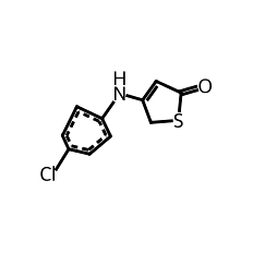 O=C1C=C(Nc2ccc(Cl)cc2)CS1